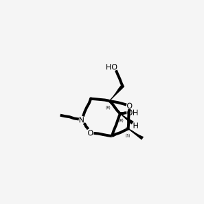 C[C@@H]1O[C@@]2(CO)CN(C)OC1[C@H]2O